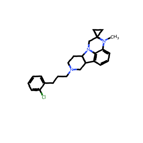 CN1c2cccc3c2N(CC12CC2)C1CCN(CCCc2ccccc2Cl)CC31